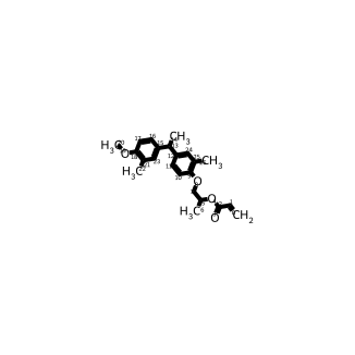 C=CC(=O)OC(C)COc1ccc(C(C)c2ccc(OC)c(C)c2)cc1C